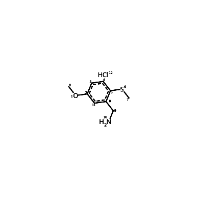 COc1ccc(SC)c(CN)c1.Cl